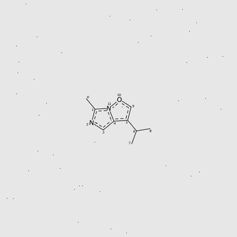 Cc1ncc2c(C(C)C)con12